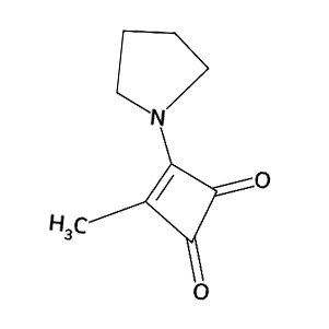 Cc1c(N2CCCC2)c(=O)c1=O